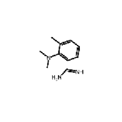 Cc1ccccc1N(C)C.N=CN